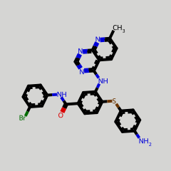 Cc1ccc2c(Nc3cc(C(=O)Nc4cccc(Br)c4)ccc3Sc3ccc(N)cc3)ncnc2n1